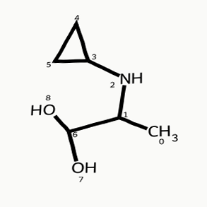 CC(NC1CC1)C(O)O